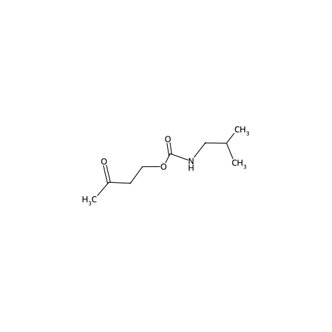 CC(=O)CCOC(=O)NCC(C)C